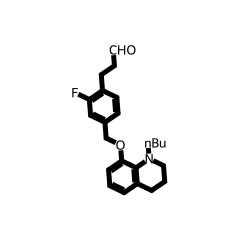 CCCCN1CCCc2cccc(OCc3ccc(CCC=O)c(F)c3)c21